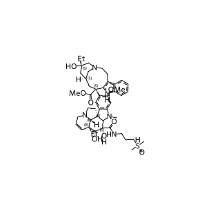 CC[C@]1(O)C[C@H]2CN(CCc3c([nH]c4ccccc34)[C@@](C(=O)OC)(c3cc4c(cc3OC)N(C)C3[C@]45CCN4CC=C[C@@](CC)([C@@H](O)[C@]3(O)C(=O)NCCC[SH](C)(C)=O)[C@H]45)C2)C1